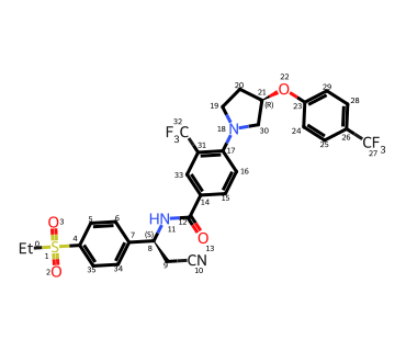 CCS(=O)(=O)c1ccc([C@H](CC#N)NC(=O)c2ccc(N3CC[C@@H](Oc4ccc(C(F)(F)F)cc4)C3)c(C(F)(F)F)c2)cc1